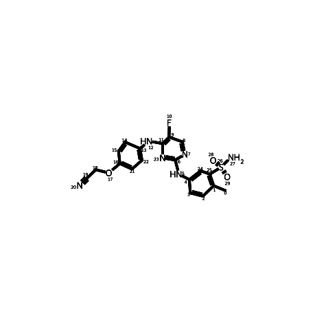 Cc1ccc(Nc2ncc(F)c(Nc3ccc(OCC#N)cc3)n2)cc1S(N)(=O)=O